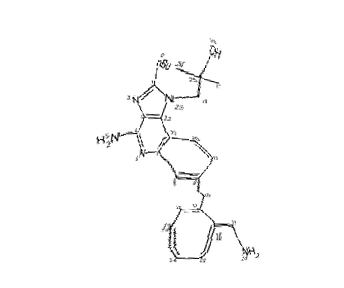 CCCCc1nc2c(N)nc3cc(Cc4ccccc4CN)ccc3c2n1CC(C)(C)O